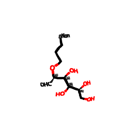 CCCCCCCCCCCCO[C@@H](C=O)[C@@H](O)[C@H](O)[C@H](O)CO